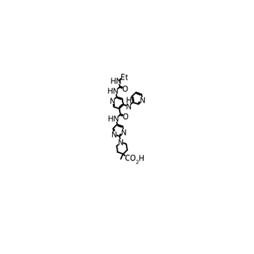 CCNC(=O)Nc1cc(Nc2cccnc2)c(C(=O)Nc2cnc(N3CCC(C)(C(=O)O)CC3)nc2)cn1